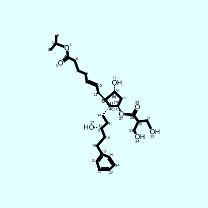 CC(C)OC(=O)CCCC=CC[C@@H]1[C@@H](CC[C@@H](O)CCc2ccccc2)[C@H](OC(=O)C(CO)CO)C[C@H]1O